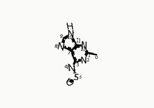 Cc1nc(N=S=O)c2nc[nH]c2n1